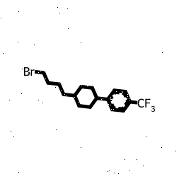 FC(F)(F)c1ccc(C2CCC(CCCCBr)CC2)cc1